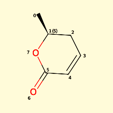 C[C@H]1CC=CC(=O)O1